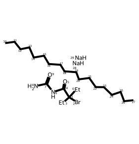 CCC(Br)(CC)C(=O)NC(N)=O.CCCCCCCCCCCCCCCCCC.[NaH].[NaH]